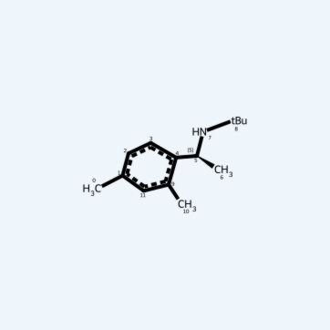 Cc1ccc([C@H](C)NC(C)(C)C)c(C)c1